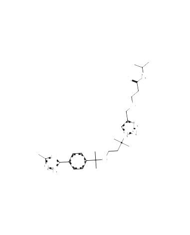 Cc1nnc(-c2ccc(C(C)(C)OCCC(C)(C)n3cc(COCCC(=O)NC(C)C)nn3)cc2)o1